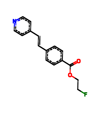 O=C(OCCF)c1ccc(/C=C/c2ccncc2)cc1